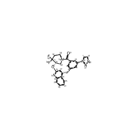 O=C(c1cc(F)cc(-n2ccnn2)c1)N1CCC(F)(F)[C@@H](Oc2ccc3ccccc3n2)C1